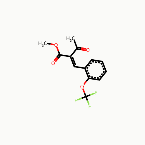 COC(=O)/C(=C/c1ccccc1OC(F)(F)F)C(C)=O